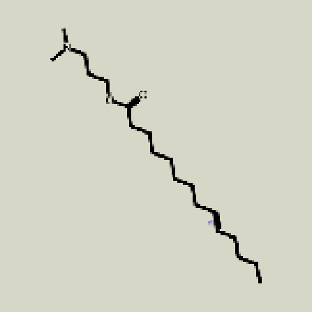 CCCC/C=C/CCCCCCCC(=O)OCCCN(C)C